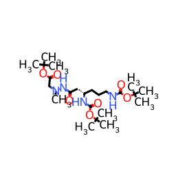 CN(CC(=O)OC(C)(C)C)NC(=O)C[C@H](CCCNC(=O)OC(C)(C)C)NC(=O)OC(C)(C)C